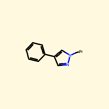 CC(C)n1cc(-c2ccccc2)[c]n1